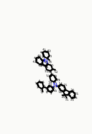 CC1C=CC=CC1c1cccc(N(c2ccc3c(c2)C(C)(C)c2ccccc2-3)C2C=CC([C@H]3Cc4c(n(C5(C)C=CC=CC5)c5ccccc45)CC3C)=CC2)c1